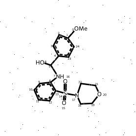 COc1ccc(C(O)Nc2ccccc2S(=O)(=O)N2CCOCC2)cc1